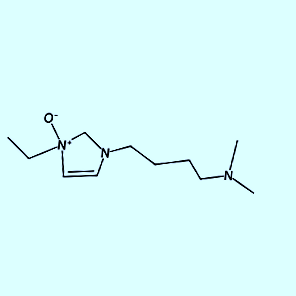 CC[N+]1([O-])C=CN(CCCCN(C)C)C1